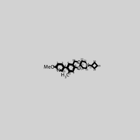 COc1ccc(-c2cc3c(cc2C)OC2(CCN(C4CCC4)CC2)OC3)cn1